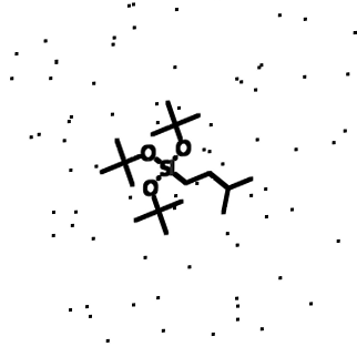 CC(C)CC[Si](OC(C)(C)C)(OC(C)(C)C)OC(C)(C)C